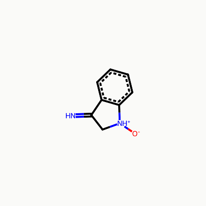 N=C1C[NH+]([O-])c2ccccc21